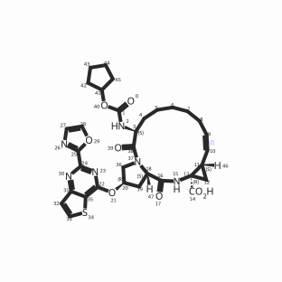 O=C(N[C@H]1CCCCC/C=C\[C@@H]2C[C@@]2(C(=O)O)NC(=O)[C@@H]2C[C@@H](Oc3nc(-c4ncco4)nc4ccsc34)CN2C1=O)OC1CCCC1